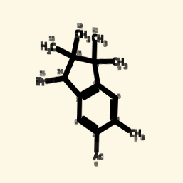 CC(=O)c1cc2c(cc1C)C(C)(C)C(C)(C)C2C(C)C